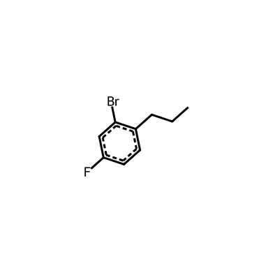 CCCc1ccc(F)cc1Br